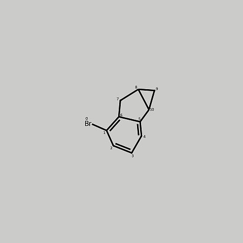 Brc1cccc2c1CC1CC21